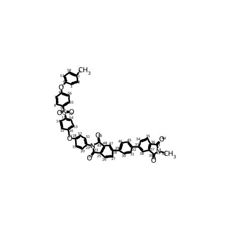 Cc1ccc(Oc2ccc(S(=O)(=O)c3ccc(Oc4ccc(N5C(=O)c6ccc(-c7ccc(-c8ccc9c(c8)C(=O)N(C)C9=O)cc7)cc6C5=O)cc4)cc3)cc2)cc1